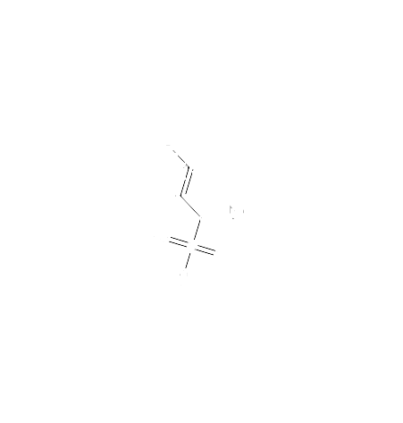 O=S(=O)([O-])CC=CF.[Na+]